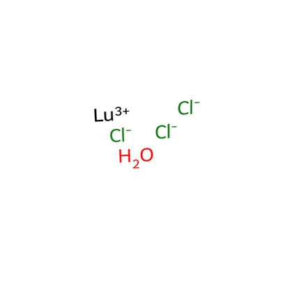 O.[Cl-].[Cl-].[Cl-].[Lu+3]